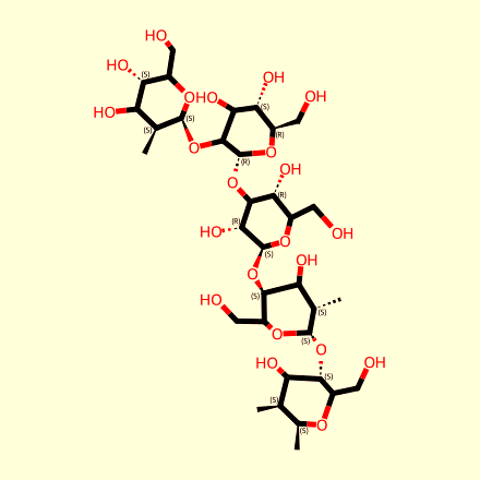 C[C@@H]1OC(CO)[C@@H](O[C@@H]2OC(CO)[C@@H](O[C@@H]3OC(CO)[C@@H](O)C(O[C@H]4O[C@H](CO)[C@@H](O)C(O)C4O[C@@H]4OC(CO)[C@@H](O)C(O)[C@@H]4C)[C@H]3O)C(O)[C@@H]2C)C(O)[C@@H]1C